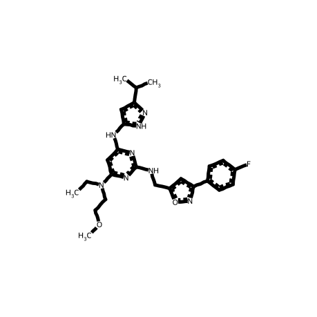 CCN(CCOC)c1cc(Nc2cc(C(C)C)n[nH]2)nc(NCc2cc(-c3ccc(F)cc3)no2)n1